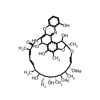 CO[C@H]1/C=C/O[C@@]2(C)Oc3c(C)c(O)c4c(c3C2O)C2=Nc3c(O)cccc3OC2=C(NC(=O)/C(C)=C\C=C\[C@H](C)[C@H](O)[C@@H](C)[C@@H](O)[C@@H](C)[C@H](OC(C)=O)[C@@H]1C)C4O